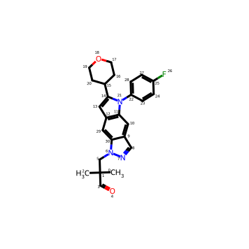 CC(C)(C=O)Cn1ncc2cc3c(cc(C4CCOCC4)n3-c3ccc(F)cc3)cc21